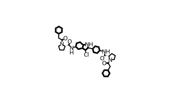 O=C(Nc1ccc(-c2[nH]c3ccc(NC(=O)[C@@H]4CCCN4C(=O)Cc4ccccc4)cc3c2Cl)cc1)[C@@H]1CCCN1C(=O)Cc1ccccc1